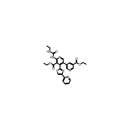 CCNC(=O)Nc1ncc(-c2cncc(C(=O)OCC)c2)c(-c2nc(-c3ccccn3)cs2)c1C(=O)OCC